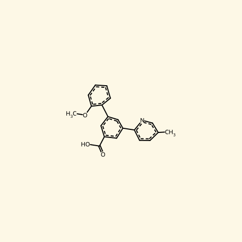 COc1ccccc1-c1cc(C(=O)O)cc(-c2ccc(C)cn2)c1